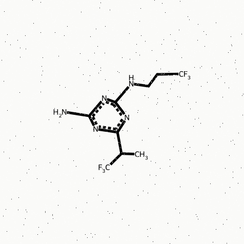 CC(c1nc(N)nc(NCCC(F)(F)F)n1)C(F)(F)F